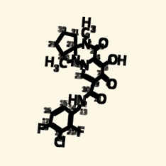 CN1C(=O)c2c(O)c(=O)c(C(=O)NCc3ccc(F)c(Cl)c3F)cn2N(C)C12CCCC2